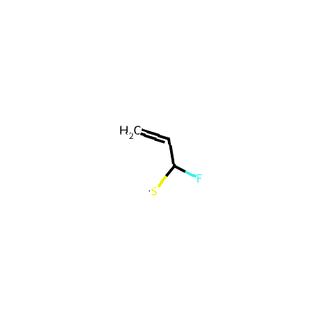 C=CC(F)[S]